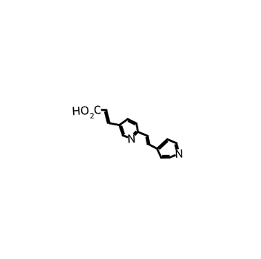 O=C(O)C=Cc1ccc(C=Cc2ccncc2)nc1